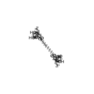 O=C(CCCCCCCCCCCCCCC(=O)Oc1ccc2c3c1O[C@H]1C(O)CC[C@@]4(O)C(C2)N(CC2CC2)CC[C@]314)Oc1ccc2c3c1O[C@H]1C(=O)CC[C@@]4(O)C(C2)N(CC2CC2)CC[C@]314